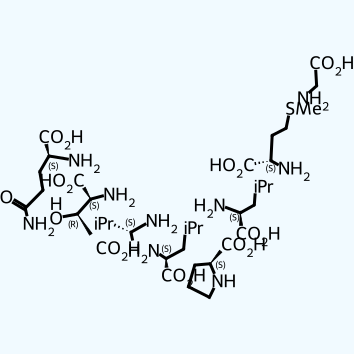 CC(C)C[C@H](N)C(=O)O.CC(C)C[C@H](N)C(=O)O.CC(C)[C@H](N)C(=O)O.CSCC[C@H](N)C(=O)O.C[C@@H](O)[C@H](N)C(=O)O.NC(=O)CC[C@H](N)C(=O)O.NCC(=O)O.O=C(O)[C@@H]1CCCN1